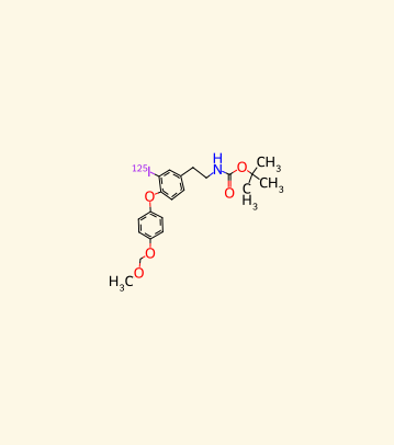 COCOc1ccc(Oc2ccc(CCNC(=O)OC(C)(C)C)cc2[125I])cc1